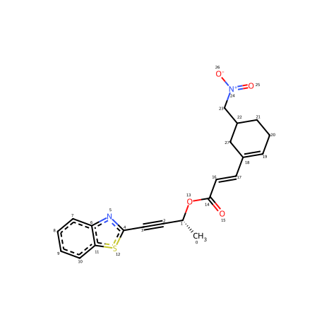 C[C@H](C#Cc1nc2ccccc2s1)OC(=O)/C=C/C1=CCCC(C[N+](=O)[O-])C1